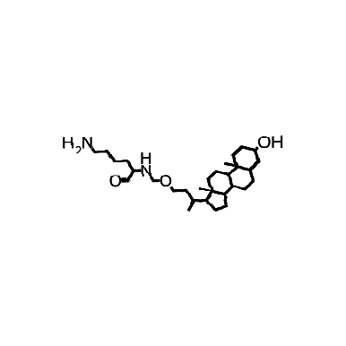 CC(CCOCNC(C=O)CCCCN)C1CCC2C3CCC4CC(O)CCC4(C)C3CC[C@@]12C